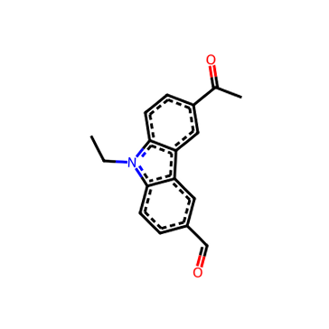 CCn1c2ccc(C=O)cc2c2cc(C(C)=O)ccc21